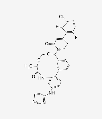 CC1CCCC(N2CCC(c3c(F)ccc(Cl)c3F)=CC2=O)c2cc(ccn2)-c2ccc(Nc3ccncn3)cc2NC1=O